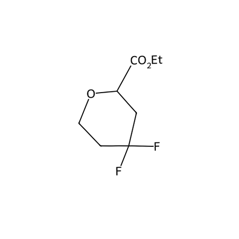 CCOC(=O)C1CC(F)(F)CCO1